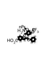 CCCC(N)=O.O=C(O)c1ccc2c(c1)cc(COc1ccccc1)n2Cc1ccc(OC(F)(F)F)cc1